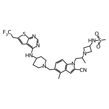 Cc1c(CN2CCC(Nc3ncnc4sc(CC(F)(F)F)cc34)CC2)ccc2c1cc(C#N)n2CC(C)N1CC(NS(C)(=O)=O)C1